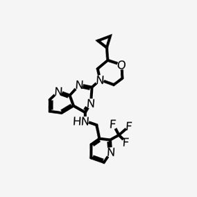 FC(F)(F)c1ncccc1CNc1nc(N2CCOC(C3CC3)C2)nc2ncccc12